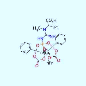 CCCOC(=O)OC(CCC)(OP(=O)(NC(=N)N(C)C(C(=O)O)C(C)C)OC(CCC)(OC(=O)OCCC)c1ccccc1)c1ccccc1